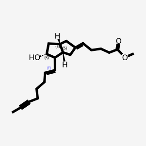 CC#CCCC/C=C/C1[C@H](O)C[C@@H]2CC(=CCCCC(=O)OC)C[C@H]12